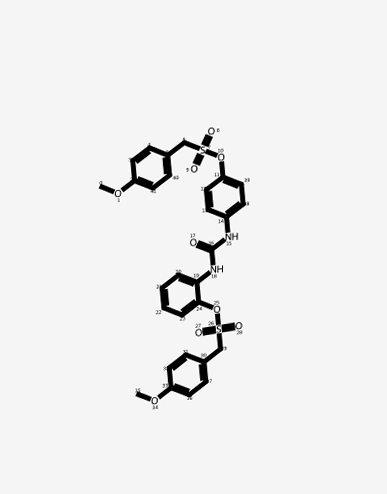 COc1ccc(CS(=O)(=O)Oc2ccc(NC(=O)Nc3ccccc3OS(=O)(=O)Cc3ccc(OC)cc3)cc2)cc1